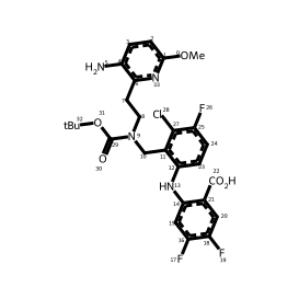 COc1ccc(N)c(CCN(Cc2c(Nc3cc(F)c(F)cc3C(=O)O)ccc(F)c2Cl)C(=O)OC(C)(C)C)n1